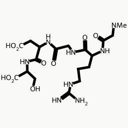 CNCC(=O)NC(CCCNC(=N)N)C(=O)NCC(=O)NC(CC(=O)O)C(=O)NC(CO)C(=O)O